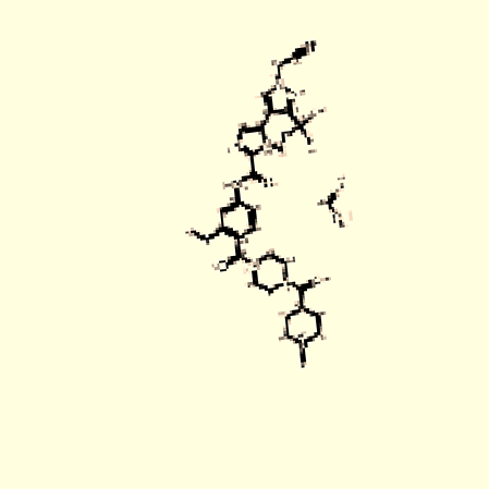 CCc1cc(NC(=O)c2ncc(-c3cn(CC#N)nc3C(F)(F)F)n2C)ccc1C(=O)N1CCN(C(=O)C2CCN(C)CC2)CC1.O=CO